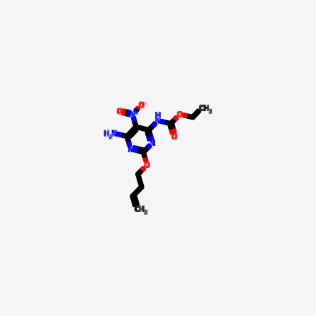 C=CCCOc1nc(N)c([N+](=O)[O-])c(NC(=O)OCC)n1